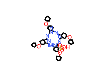 O=S(=O)(O)c1c(Oc2ccccc2)ccc2c3nc4nc(nc5[nH]c(nc6nc(nc([nH]3)c12)-c1cc(Oc2ccccc2)ccc1-6)c1ccc(Oc2ccccc2)cc51)-c1ccc(Oc2ccccc2)cc1-4